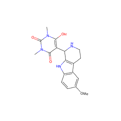 COc1ccc2[nH]c3c(c2c1)CCNC3c1c(O)n(C)c(=O)n(C)c1=O